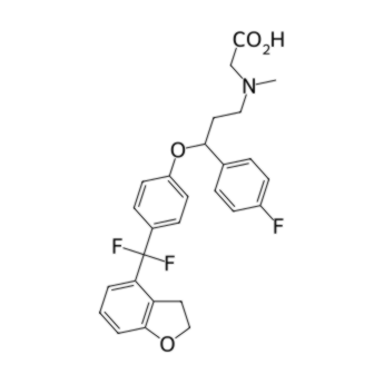 CN(CCC(Oc1ccc(C(F)(F)c2cccc3c2CCO3)cc1)c1ccc(F)cc1)CC(=O)O